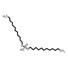 CCCCCCCCCCCCOP(=O)(O)OCCCCCCCCCCCC